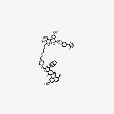 C#Cc1c(F)ccc2cc(O)cc(-c3ncc4c(N5CC6CCC(C5)N6)nc(OC5CCN(CCCCCCCC(=O)NC(C(=O)N6CC(O)CC6C(=O)NCc6ccc(-c7scnc7C)cc6)C(C)(C)C)CC5)nc4c3F)c12